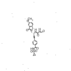 COc1ccc2c(c1)C(=O)N(C[C@@H](C#Cc1ccc(C(=O)NS(=O)(=O)C3CC3)cc1)NC(=O)NC=O)C2